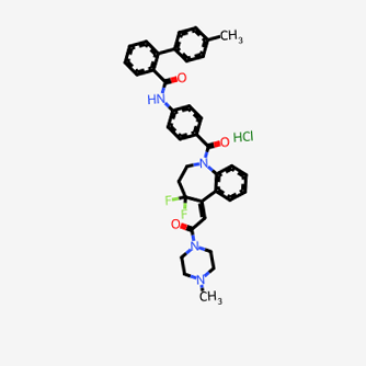 Cc1ccc(-c2ccccc2C(=O)Nc2ccc(C(=O)N3CCC(F)(F)C(=CC(=O)N4CCN(C)CC4)c4ccccc43)cc2)cc1.Cl